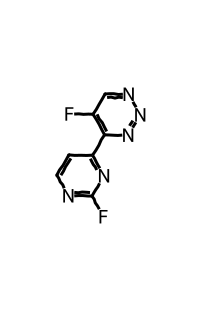 Fc1nccc(-c2nnncc2F)n1